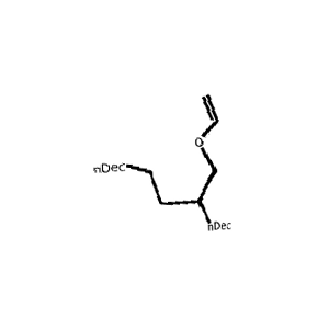 C=COCC(CCCCCCCCCC)CCCCCCCCCCCC